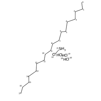 CCCCCCCCCCCCCCCCCC.Cl.Cl.Cl.[SiH3]Cl